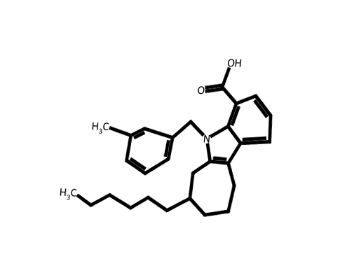 CCCCCCC1CCCc2c(n(Cc3cccc(C)c3)c3c(C(=O)O)cccc23)C1